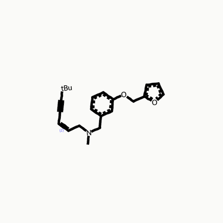 CN(C/C=C\C#CC(C)(C)C)Cc1cccc(OCc2ccco2)c1